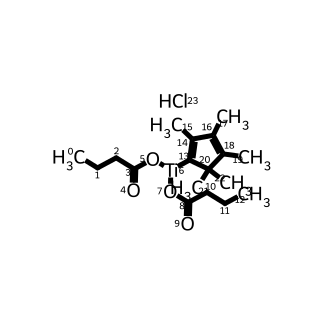 CCCC(=O)[O][Ti]([O]C(=O)CCC)[C]1=C(C)C(C)=C(C)C1(C)C.Cl